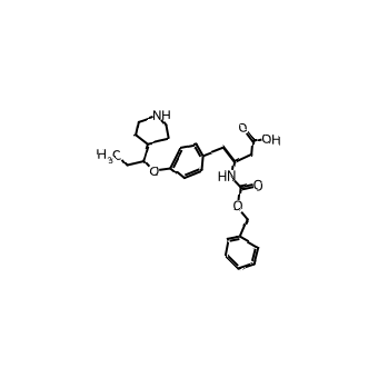 CCC(Oc1ccc(CC(CC(=O)O)NC(=O)OCc2ccccc2)cc1)C1CCNCC1